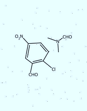 CN(C)C=O.O=Cc1cc([N+](=O)[O-])ccc1Cl